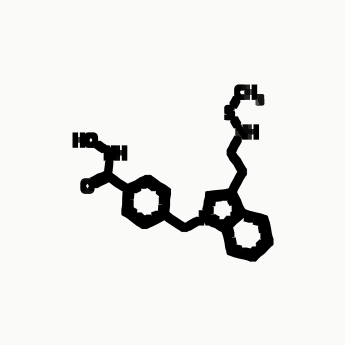 CSNCCc1cn(Cc2ccc(C(=O)NO)cc2)c2ccccc12